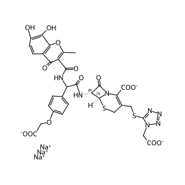 Cc1oc2c(O)c(O)ccc2c(=O)c1C(=O)NC(C(=O)N[C@@H]1C(=O)N2C(C(=O)[O-])=C(CSc3nnnn3CC(=O)[O-])CS[C@@H]12)c1ccc(OCC(=O)[O-])cc1.[Na+].[Na+].[Na+]